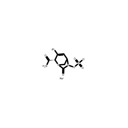 CC(C)C1=CC2CN(C(=O)N2OS(=O)(=O)[O-])[C@@H]1C(N)=O.[Na+]